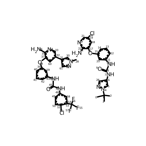 CC(C)(C)n1cc(NC(=O)Nc2cccc(Oc3cc(Cl)cnc3N)c2)cn1.Cn1cc(-c2cnc(N)c(Oc3cccc(NC(=O)Nc4ccc(Cl)c(C(F)(F)F)c4)c3)c2)cn1